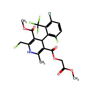 COC(=O)COC(=O)C1=C(C)NC(CF)=C(C(=O)OC)C1c1c(F)ccc(Cl)c1C(F)(F)F